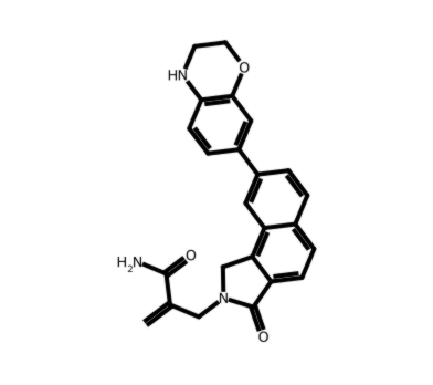 C=C(CN1Cc2c(ccc3ccc(-c4ccc5c(c4)OCCN5)cc23)C1=O)C(N)=O